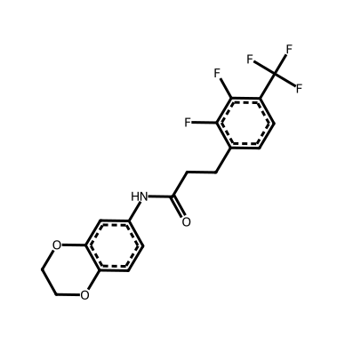 O=C(CCc1ccc(C(F)(F)F)c(F)c1F)Nc1ccc2c(c1)OCCO2